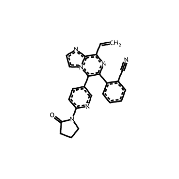 C=Cc1nc(-c2ccccc2C#N)c(-c2ccc(N3CCCC3=O)nc2)n2ccnc12